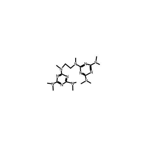 CN(C)c1nc(N(C)C)nc(N(C)CCN(C)c2nc(N(C)C)nc(N(C)C)n2)n1